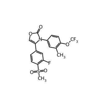 Cc1cc(-n2c(-c3ccc(S(C)(=O)=O)c(F)c3)coc2=O)ccc1OC(F)(F)F